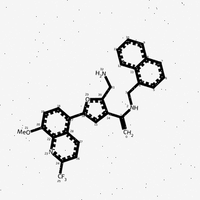 C=C(NCc1cccc2ccccc12)c1cc(-c2ccc(OC)c3nc(C(F)(F)F)ccc23)oc1CN